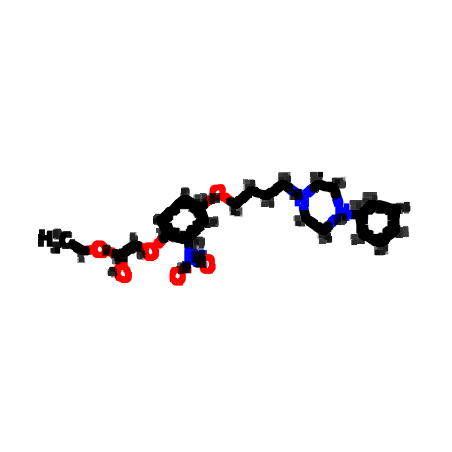 CCOC(=O)COc1ccc(OCCCCN2CCN(c3ccccc3)CC2)cc1[N+](=O)[O-]